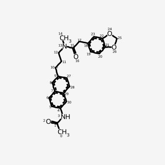 CC(=O)Nc1ccc2cc([CH]CCN(C)C(=O)Cc3ccc4c(c3)OCO4)ccc2c1